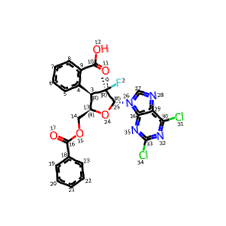 C[C@@]1(F)[C@H](c2ccccc2C(=O)O)[C@H](COC(=O)c2ccccc2)O[C@H]1n1cnc2c(Cl)nc(Cl)nc21